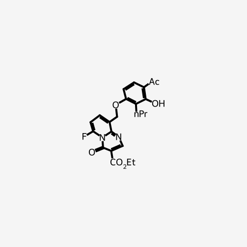 CCCc1c(OCc2ccc(F)n3c(=O)c(C(=O)OCC)cnc23)ccc(C(C)=O)c1O